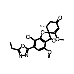 CCc1nnc(-c2cc(OC)c3c(c2Cl)O[C@]2(C3=O)C(OC)=CC(=O)C[C@H]2C)o1